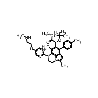 CNCCOc1cnc(N2CCn3c(C)cc4c(-c5ccc(C)cc5)c([C@H](OC(C)(C)C)C(=O)OC)c(C)c2c43)nc1